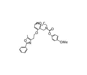 COc1ccc(OC(=O)N(CC(=O)O)Cc2ccccc2OCCc2nc(-c3ccccc3)oc2C)cc1